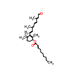 CCCCCCC/C=C/C(=O)OC1CCC(C)(C)C(/C=C/C(C)=C/C=C/C(C)=C/C=O)=C1C